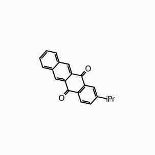 CC(C)c1ccc2c(c1)C(=O)c1cc3ccccc3cc1C2=O